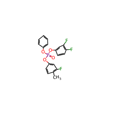 Cc1ccc(OP(=O)(Oc2ccccc2)Oc2ccc(F)c(F)c2)cc1F